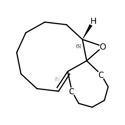 C1=C2\CCCCCCC23O[C@H]3CCCCCC/1